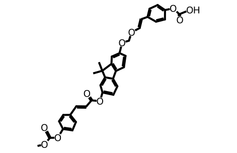 COC(=O)Oc1ccc(C=CC(=O)Oc2ccc3c(c2)C(C)(C)c2cc(OCOC=Cc4ccc(OC(=O)O)cc4)ccc2-3)cc1